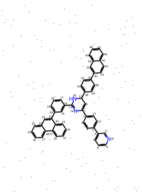 C1=C(c2ccc(-c3cccnc3)cc2)N=C(c2cccc(-c3cc4ccccc4c4ccccc34)c2)NC1c1ccc(-c2ccc3ccccc3c2)cc1